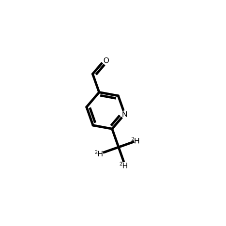 [2H]C([2H])([2H])c1ccc(C=O)cn1